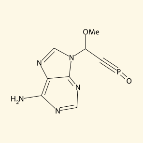 COC(C#P=O)n1cnc2c(N)ncnc21